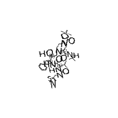 CC(C)[C@H](NC(=O)N(C)Cc1cncs1)C(=O)N[C@@H](Cc1ccccc1)[C@H](O)CN1CCN(C(=O)OC(C)(C)C)C[C@H]1C(=O)NC(C)(C)C